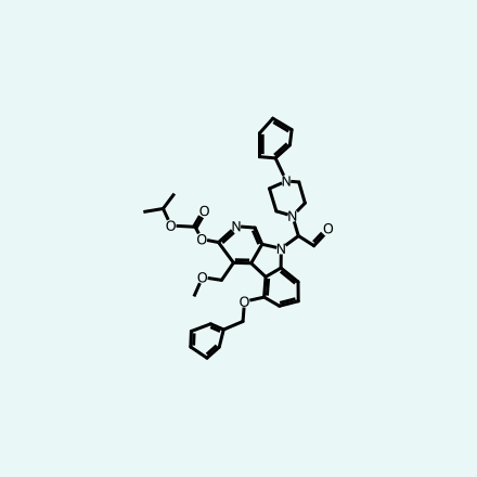 COCc1c(OC(=O)OC(C)C)ncc2c1c1c(OCc3ccccc3)cccc1n2C(C=O)N1CCN(c2ccccc2)CC1